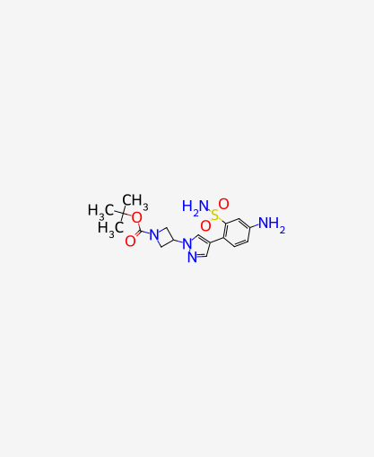 CC(C)(C)OC(=O)N1CC(n2cc(-c3ccc(N)cc3S(N)(=O)=O)cn2)C1